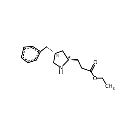 CCOC(=O)CC[C@@H]1C[C@@H](Cc2ccccc2)CN1